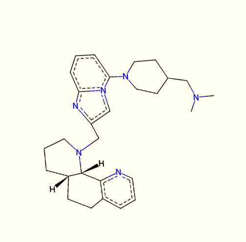 CN(C)CC1CCN(c2cccc3nc(CN4CCC[C@H]5CCc6cccnc6[C@H]54)cn23)CC1